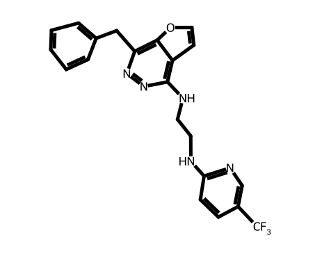 FC(F)(F)c1ccc(NCCNc2nnc(Cc3ccccc3)c3occc23)nc1